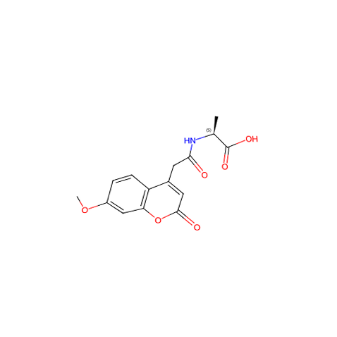 COc1ccc2c(CC(=O)N[C@@H](C)C(=O)O)cc(=O)oc2c1